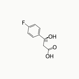 O=C(O)C[C@H](O)c1ccc(F)cc1